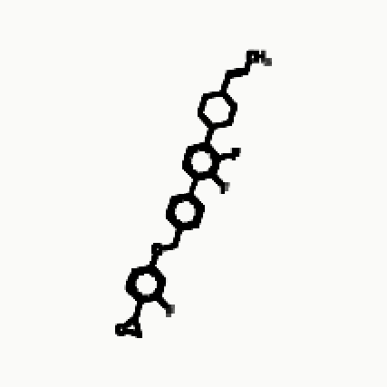 C/C=C/C1CCC(c2ccc(-c3ccc(COc4ccc(C5CO5)c(F)c4)cc3)c(F)c2F)CC1